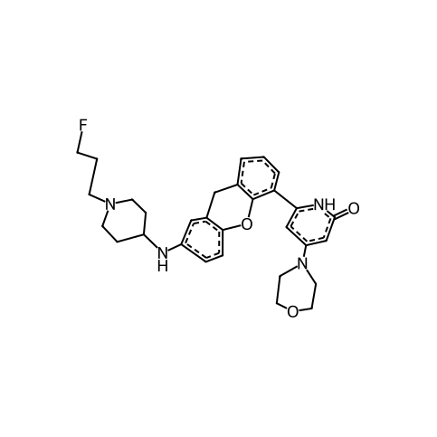 O=c1cc(N2CCOCC2)cc(-c2cccc3c2Oc2ccc(NC4CCN(CCCF)CC4)cc2C3)[nH]1